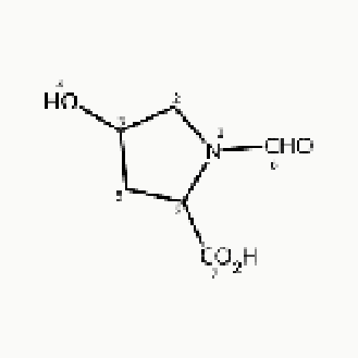 O=CN1CC(O)CC1C(=O)O